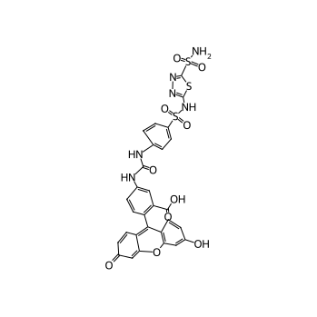 NS(=O)(=O)c1nnc(NS(=O)(=O)c2ccc(NC(=O)Nc3ccc(-c4c5ccc(=O)cc-5oc5cc(O)ccc45)c(C(=O)O)c3)cc2)s1